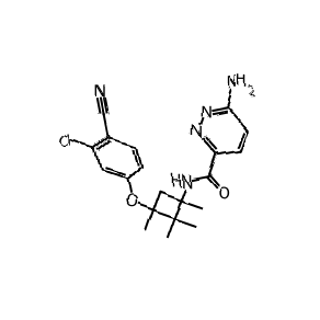 CC1(NC(=O)c2ccc(N)nn2)CC(C)(Oc2ccc(C#N)c(Cl)c2)C1(C)C